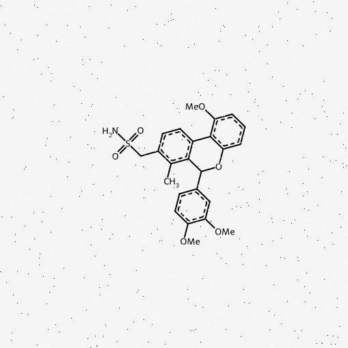 COc1ccc(C2Oc3cccc(OC)c3-c3ccc(CS(N)(=O)=O)c(C)c32)cc1OC